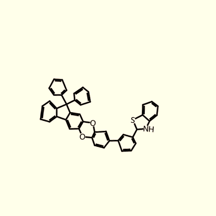 c1ccc(C2(c3ccccc3)c3ccccc3-c3cc4c(cc32)Oc2cc(-c3cccc(C5Nc6ccccc6S5)c3)ccc2O4)cc1